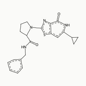 O=C(NCc1ccccc1)C1CCCN1c1nc2c(=O)[nH]c(C3CC3)cc2s1